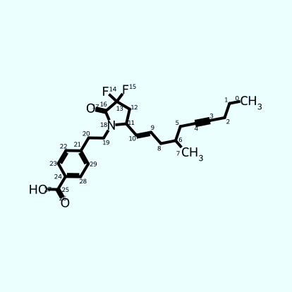 CCCC#CCC(C)C/C=C/C1CC(F)(F)C(=O)N1CCc1ccc(C(=O)O)cc1